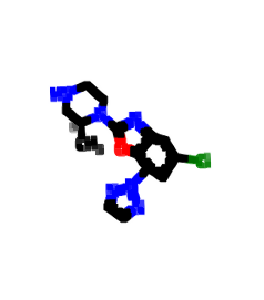 C[C@H]1CNCCN1c1nc2cc(Cl)cc(-n3nccn3)c2o1